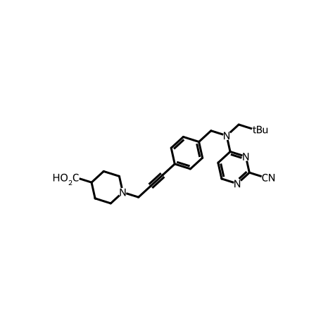 CC(C)(C)CN(Cc1ccc(C#CCN2CCC(C(=O)O)CC2)cc1)c1ccnc(C#N)n1